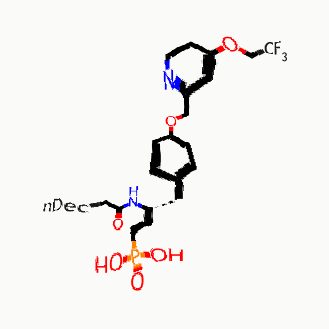 CCCCCCCCCCCC(=O)N[C@@H](/C=C/P(=O)(O)O)Cc1ccc(OCc2cc(OCC(F)(F)F)ccn2)cc1